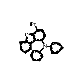 CC(C)c1ccc(N(c2ccccc2)c2ccccc2)c2c1oc1ccccc12